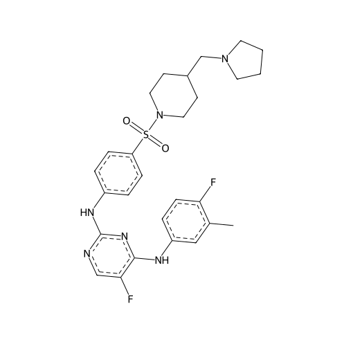 Cc1cc(Nc2nc(Nc3ccc(S(=O)(=O)N4CCC(CN5CCCC5)CC4)cc3)ncc2F)ccc1F